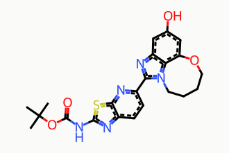 CC(C)(C)OC(=O)Nc1nc2ccc(-c3nc4cc(O)cc5c4n3CCCCO5)nc2s1